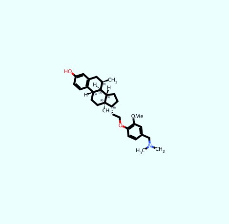 COc1cc(CN(C)C)ccc1OCC[C@H]1CC[C@H]2[C@@H]3[C@H](C)Cc4cc(O)ccc4[C@H]3CC[C@]12C